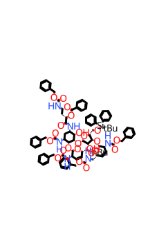 CCCCOC[C@@H]1C=C[C@@H](NC(=O)OCc2ccccc2)[C@@H](O[C@H]2[C@H](O[C@@H]3O[C@H](CO[Si](c4ccccc4)(c4ccccc4)C(C)(C)C)[C@@H](O[C@H]4O[C@@H](CNC(=O)OCc5ccccc5)C=C[C@H]4NC(=O)OCc4ccccc4)[C@H]3O)[C@@H](O)[C@H](NC(=O)[C@H](CCNC(=O)OCc3ccccc3)OC(=O)c3ccccc3)C[C@@H]2NC(=O)OCc2ccccc2)O1